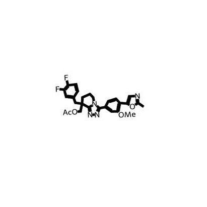 COc1cc(-c2nnc3n2CCCC3(COC(C)=O)Cc2ccc(F)c(F)c2)ccc1-c1cnc(C)o1